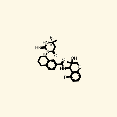 CC[C@]1(C)CC(=O)N([C@@H]2CCCc3ccc(C(=O)NC4c5c(F)cccc5OCC4(C)O)cc32)C(=N)N1